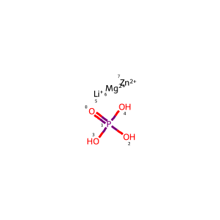 O=P(O)(O)O.[Li+].[Mg+2].[Zn+2]